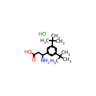 CC(C)(C)c1cc(C(N)CC(=O)O)cc(C(C)(C)C)c1.Cl